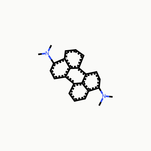 CN(C)c1ccc2c3cccc4c(N(C)C)ccc(c5cccc1c52)c43